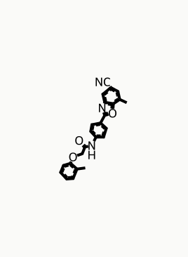 Cc1ccccc1OCC(=O)Nc1ccc(-c2nc3cc(C#N)cc(C)c3o2)cc1